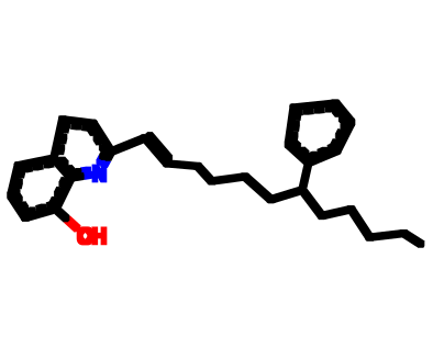 CCCCCC(CCCCC=Cc1ccc2cccc(O)c2n1)c1ccccc1